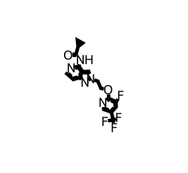 O=C(Nc1nccc2nn(CCOc3ncc(C(F)(F)F)cc3F)cc12)C1CC1